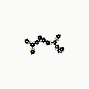 c1ccc2sc(-c3cc(-c4ccc(-c5nc6cc(-c7ccc8nc(-c9cc(-c%10ccc(-c%11ccnc%12ccccc%11%12)cc%10)cc(-c%10nc%11ccccc%11s%10)c9)sc8c7)ccc6c6ccccc56)cc4)cc(-c4nc5ccccc5s4)c3)nc2c1